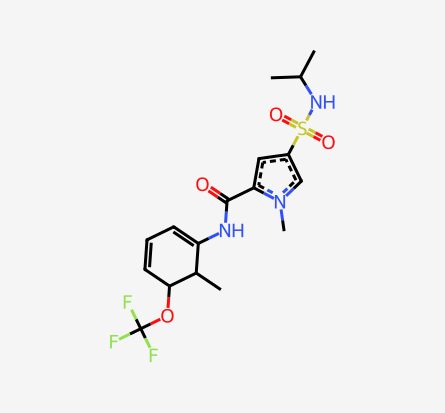 CC(C)NS(=O)(=O)c1cc(C(=O)NC2=CC=CC(OC(F)(F)F)C2C)n(C)c1